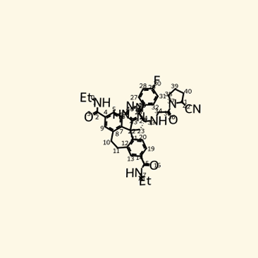 CCNC(=O)c1ccc2c(c1)CCc1cc(C(=O)NCC)ccc1C2(C[C@H](Cc1ccc(F)cc1)NCC(=O)N1CCCC1C#N)c1nnn[nH]1